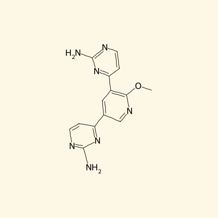 COc1ncc(-c2ccnc(N)n2)cc1-c1ccnc(N)n1